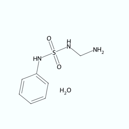 NCNS(=O)(=O)Nc1ccccc1.O